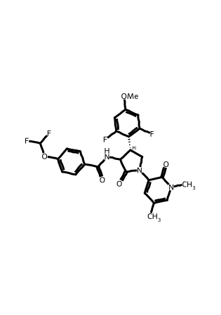 COc1cc(F)c([C@@H]2CN(c3cc(C)cn(C)c3=O)C(=O)C2NC(=O)c2ccc(OC(F)F)cc2)c(F)c1